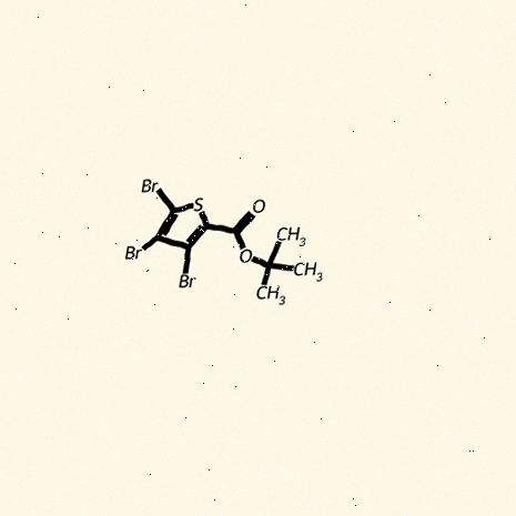 CC(C)(C)OC(=O)c1sc(Br)c(Br)c1Br